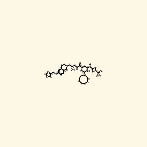 CCCC(=O)N1CC(NC2CC(C(=O)NC[C@H](O)CN3CCc4cc(OCc5cnco5)ccc4C3)CC(C3CCCCCCCC3)N2)C1